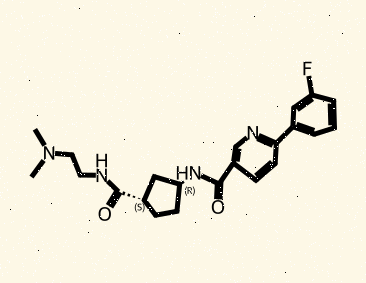 CN(C)CCNC(=O)[C@H]1CC[C@@H](NC(=O)c2ccc(-c3cccc(F)c3)nc2)C1